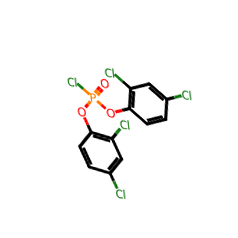 O=P(Cl)(Oc1ccc(Cl)cc1Cl)Oc1ccc(Cl)cc1Cl